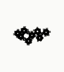 C1=Cc2c(c3ccccc3n2-c2ccccc2)C(c2ccc3c(c2)Oc2cccc(-c4ccccc4)c2-c2ccccc2Oc2ccccc2-3)C1